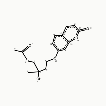 CC(=O)OCC(C)(O)CCOc1ccc2ccc(=O)oc2c1